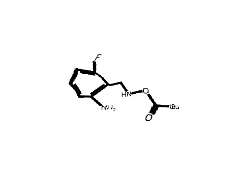 CC(C)(C)C(=O)ONCc1c(N)cccc1F